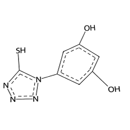 Oc1cc(O)cc(-n2nnnc2S)c1